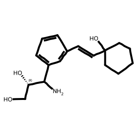 NC(c1cccc(C=CC2(O)CCCCC2)c1)[C@@H](O)CO